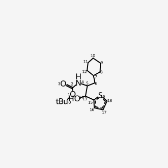 CC(C)(C)OC(=O)NC(CC1CCCCC1)C(O)c1cccs1